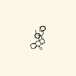 Cc1ccc(C23CC4=CCCC=C4C(=O)N2CCN3C(=O)Cc2ccccn2)cc1